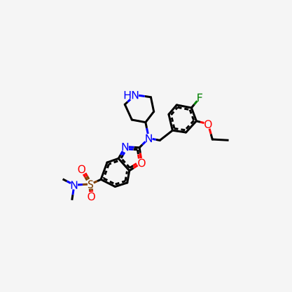 CCOc1cc(CN(c2nc3cc(S(=O)(=O)N(C)C)ccc3o2)C2CCNCC2)ccc1F